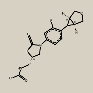 CCC(=O)NC[C@H]1CN(c2ccc(C3[C@H]4COC[C@@H]34)c(F)c2)C(=O)O1